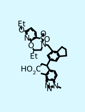 CCOc1ccc2c(n1)O[C@H](CC)CN(Cc1cc(C(CC(=O)O)c3ccc4c(nnn4C)c3C)cc3c1CCC3)S2(=O)=O